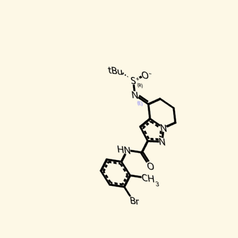 Cc1c(Br)cccc1NC(=O)c1cc2n(n1)CCC/C2=N\[S@@+]([O-])C(C)(C)C